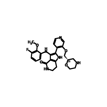 COc1c(F)cccc1Nc1c(-c2ccncc2OC[C@@H]2CNCCO2)[nH]c2c1C(=O)NCC2